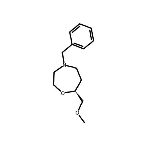 COC[C@@H]1CCN(Cc2ccccc2)CCO1